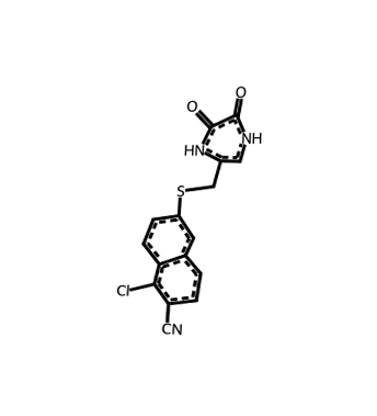 N#Cc1ccc2cc(SCc3c[nH]c(=O)c(=O)[nH]3)ccc2c1Cl